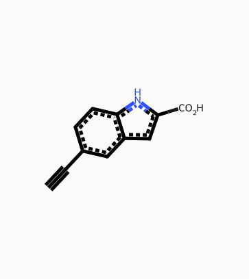 C#Cc1ccc2[nH]c(C(=O)O)cc2c1